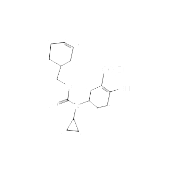 CCOC(=O)C1=C(O)CCC(N(C(=O)OCC2CC=CCC2)C2CC2)C1